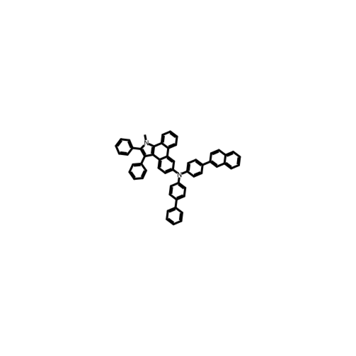 Cn1c(-c2ccccc2)c(-c2ccccc2)c2c3ccc(N(c4ccc(-c5ccccc5)cc4)c4ccc(-c5ccc6ccccc6c5)cc4)cc3c3ccccc3c21